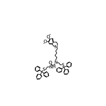 COc1cc2c(cc1OC)CN(CCCCCCN(CCSC(c1ccccc1)(c1ccccc1)c1ccccc1)CC(=O)NCCSC(c1ccccc1)(c1ccccc1)c1ccccc1)CC2